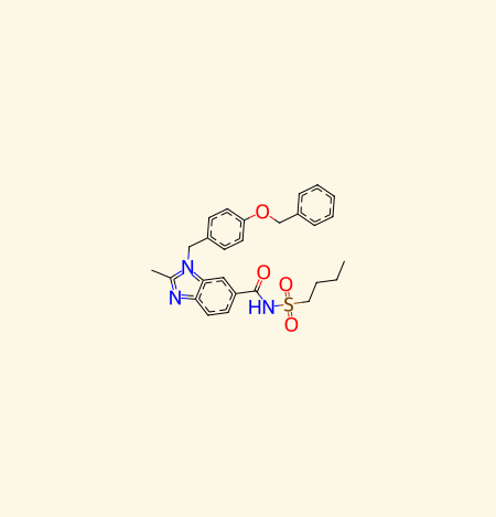 CCCCS(=O)(=O)NC(=O)c1ccc2nc(C)n(Cc3ccc(OCc4ccccc4)cc3)c2c1